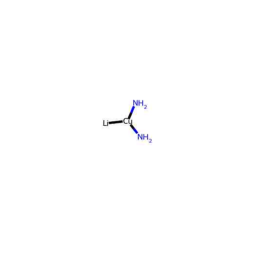 [Li][Cu]([NH2])[NH2]